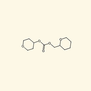 O=C(OCC1CCCCO1)OC1CCOCC1